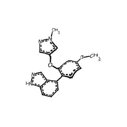 COc1ccc(-c2cccc3[nH]ncc23)c(Oc2cnn(C)c2)c1